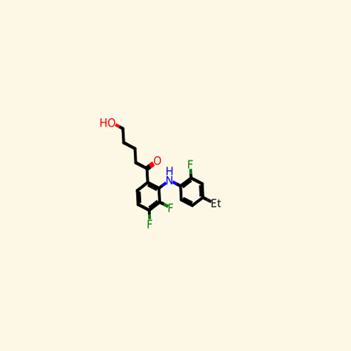 CCc1ccc(Nc2c(C(=O)CCCCO)ccc(F)c2F)c(F)c1